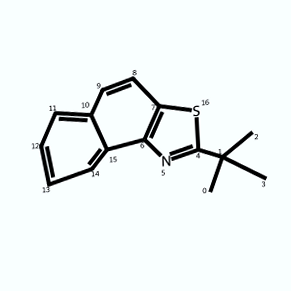 CC(C)(C)c1nc2c(ccc3ccccc32)s1